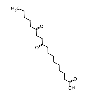 CCCCCC(=O)CCC(=O)CCCCCCCCC(=O)O